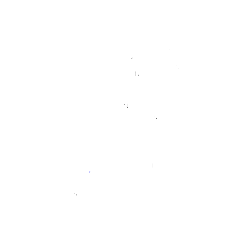 C=C/C(=C\N(C)C)c1cc2c(cc1C(F)F)N(c1nccc3c1N[C@H](C)CC(=O)N3)CCC2